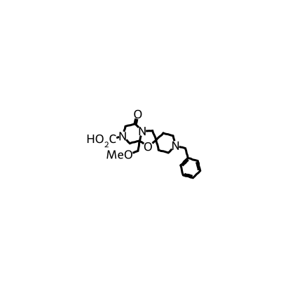 COCC12CN(C(=O)O)CC(=O)N1CC1(CCN(Cc3ccccc3)CC1)O2